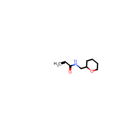 C=CC(=O)NCC1CCCCO1